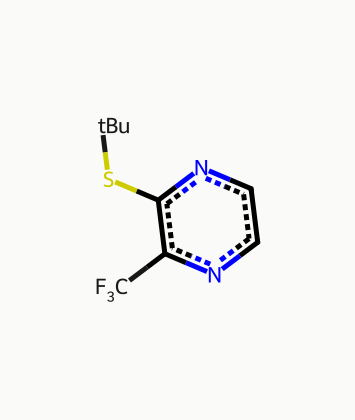 CC(C)(C)Sc1nccnc1C(F)(F)F